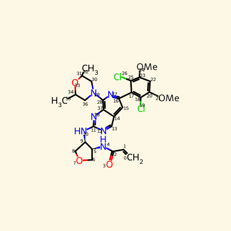 C=CC(=O)N[C@H]1COC[C@H]1Nc1ncc2cc(-c3c(Cl)c(OC)cc(OC)c3Cl)nc(N3CC(C)OC(C)C3)c2n1